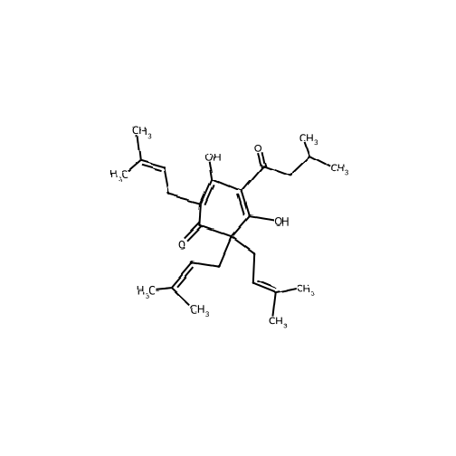 CC(C)=CCC1=C(O)C(C(=O)CC(C)C)=C(O)C(CC=C(C)C)(CC=C(C)C)C1=O